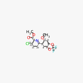 COC(=O)c1nc(-c2cc3c(cc2OC)OC(F)(F)O3)ccc1Cl